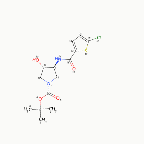 CC(C)(C)OC(=O)N1C[C@H](NC(=O)c2ccc(Cl)s2)[C@@H](O)C1